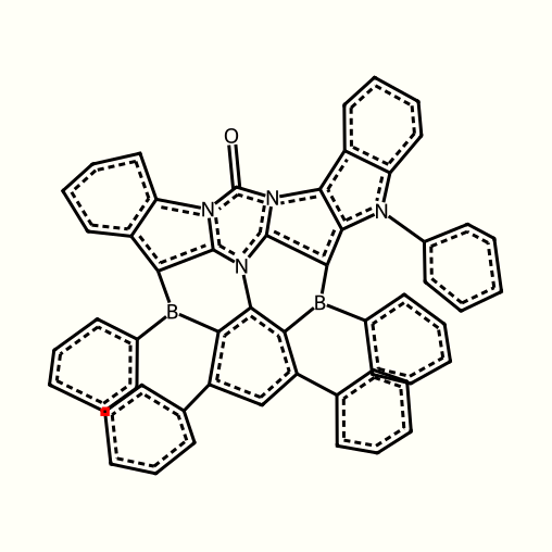 O=c1n2c3ccccc3c3c2n2c4c(c5c(c6ccccc6n5-c5ccccc5)n14)B(c1ccccc1)c1c(-c4ccccc4)cc(-c4ccccc4)c(c1-2)B3c1ccccc1